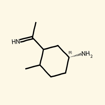 CC(=N)C1C[C@H](N)CCC1C